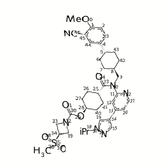 COc1ccc([C@H]2CC[C@H](CN(c3cc(-c4cnn(C(C)C)c4)ccn3)C(=O)[C@H]3CC[C@H](OC(=O)N4CC(S(C)(=O)=O)C4)CC3)CC2)cc1C#N